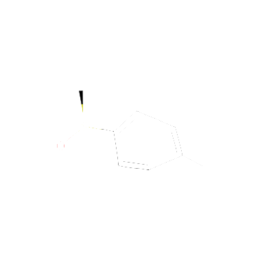 Cc1ccc([S@+](C)[O-])cc1